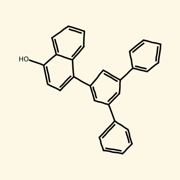 Oc1ccc(-c2cc(-c3ccccc3)cc(-c3ccccc3)c2)c2ccccc12